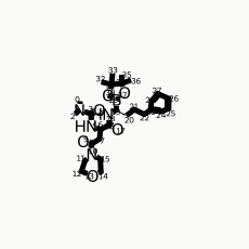 CN(C)C(=O)NC(CC(=O)N1CCOCC1)C(=O)N[C@@H](CCCc1ccccc1)B1OC(C)(C)C(C)(C)O1